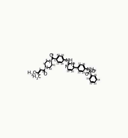 CC(C)=CC(=O)N1CCN(C(=O)c2ccc(Nc3nccc(-c4ccc(NS(=O)(=O)c5ccccc5)cc4)n3)cc2)CC1